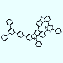 c1ccc(-c2cc(-c3ccccc3)cc(-c3ccc(-c4ccc5c(c4)c4cc(-c6ccc7sc8cccc(-c9nc(-c%10ccccc%10)nc(-c%10ccccc%10)n9)c8c7c6)ccc4n5-c4ccccc4)cc3)c2)cc1